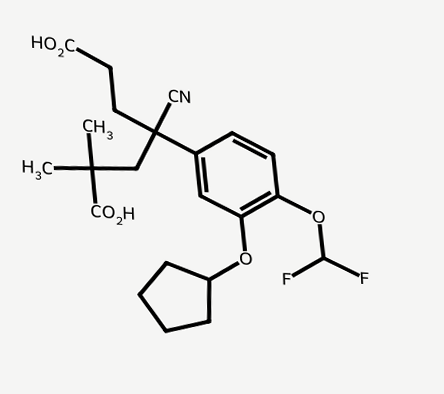 CC(C)(CC(C#N)(CCC(=O)O)c1ccc(OC(F)F)c(OC2CCCC2)c1)C(=O)O